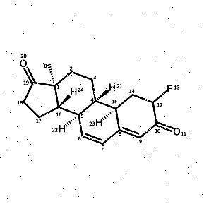 C[C@]12CC[C@H]3[C@@H](C=CC4=CC(=O)C(F)C[C@@H]43)[C@@H]1CCC2=O